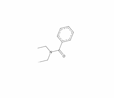 [CH2]CN(CC)C(=O)c1ccccc1